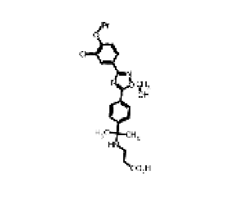 CC(C)Oc1ccc(-c2noc(-c3ccc(C(C)(C)NCCC(=O)O)cc3)n2)cc1Cl.CO